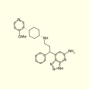 COc1ccncc1[C@H]1CC[C@@H](NCCC(c2ccccc2)c2cc(N)nc3[nH]nnc23)CC1